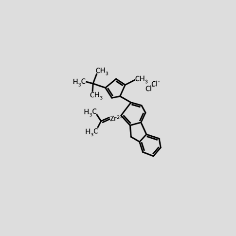 CC1=CC(C(C)(C)C)=CC1c1ccc2c([c]1[Zr+2]=[C](C)C)Cc1ccccc1-2.[Cl-].[Cl-]